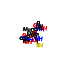 COc1cc2c(cc1OCc1cc(COc3cc4c(cc3OC)C(=O)N3c5ccccc5C[C@H]3C(O)N4)cc(NC(=O)CCCS)c1)NC(O)[C@@H]1Cc3ccccc3N1C2=O